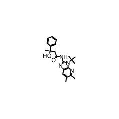 Cc1cc2nc(NC(=O)C[C@](C)(O)c3ccccc3)n(C(C)(C)C)c2nc1C